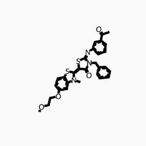 COCCOc1ccc2c(c1)N(C)C(=C1SC(=Nc3cccc(C(C)=O)c3)N(Cc3ccccc3)C1=O)S2